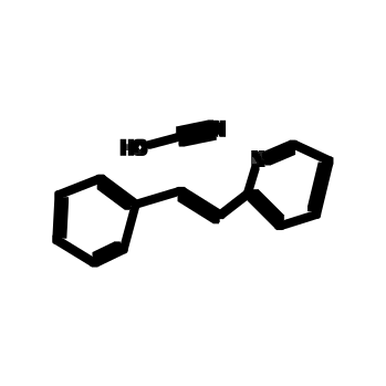 C(=Cc1ccccn1)c1ccccc1.N#CO